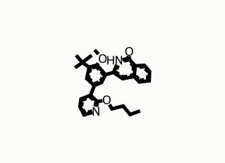 CCCCOc1ncccc1-c1cc(-c2cc3ccccc3c(=O)[nH]2)c(OC)c(C(C)(C)C)c1